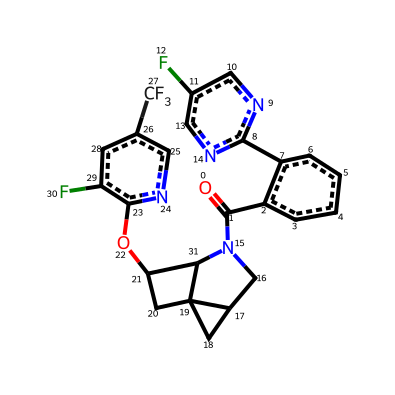 O=C(c1ccccc1-c1ncc(F)cn1)N1CC2CC23CC(Oc2ncc(C(F)(F)F)cc2F)C13